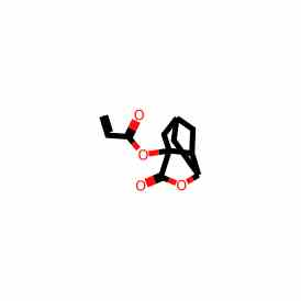 C=CC(=O)OC12CC3CC(OC1=O)C2C3